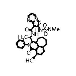 C#Cc1ccc2c3c(c([C@@H](C)NC(=O)c4c(NS(=O)(=O)NC)nn5cccnc45)n(-c4ccccc4)c(=O)c13)CCCC2